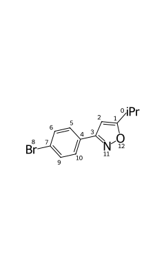 CC(C)c1cc(-c2ccc(Br)cc2)no1